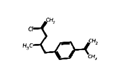 C=C(Cl)CC(C)Cc1ccc(C(=C)C)cc1